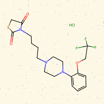 Cl.O=C1CSC(=O)N1CCCCN1CCN(c2ccccc2OCC(F)(F)F)CC1